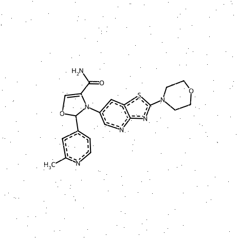 Cc1cc(C2OC=C(C(N)=O)N2c2cnc3nc(N4CCOCC4)sc3c2)ccn1